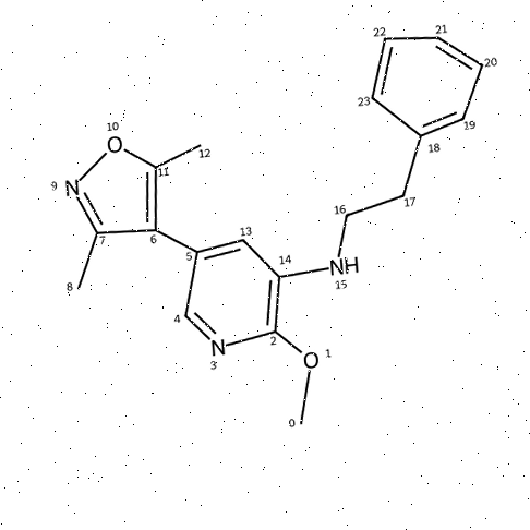 COc1ncc(-c2c(C)noc2C)cc1NCCc1ccccc1